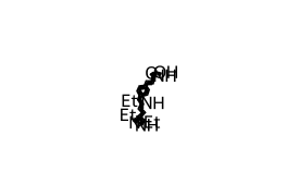 CCc1n[nH]c(CC)c1CCC(=N)[C@@H](CC)c1ccc(/C=C/C(=O)NO)cc1